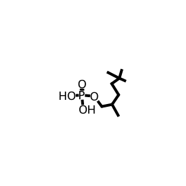 CC(CCC(C)(C)C)COP(=O)(O)O